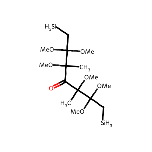 COC(C[SiH3])(OC)C(C)(OC)C(=O)C(C)(OC)C(C[SiH3])(OC)OC